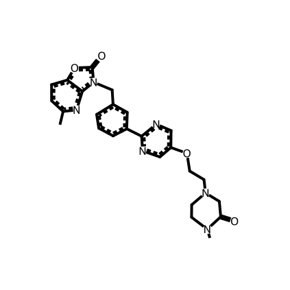 Cc1ccc2oc(=O)n(Cc3cccc(-c4ncc(OCCN5CCN(C)C(=O)C5)cn4)c3)c2n1